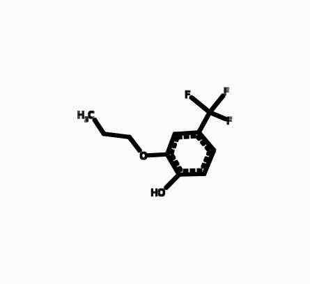 CCCOc1cc(C(F)(F)F)ccc1O